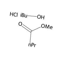 CCC(C)O.CCCC(=O)OC.Cl